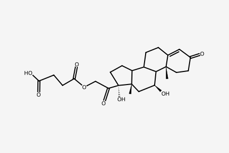 C[C@]12CCC(=O)C=C1CCC1C2[C@@H](O)C[C@@]2(C)C1CC[C@]2(O)C(=O)COC(=O)CCC(=O)O